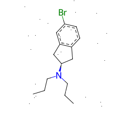 CCCN(CCC)[C@@H]1Cc2ccc(Br)cc2C1